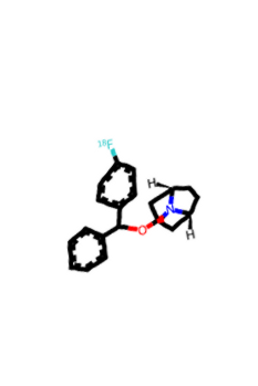 CN1[C@@H]2CC[C@H]1CC(OC(c1ccccc1)c1ccc([18F])cc1)C2